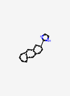 c1ccc2cc3cc(-c4ncc[nH]4)ccc3cc2c1